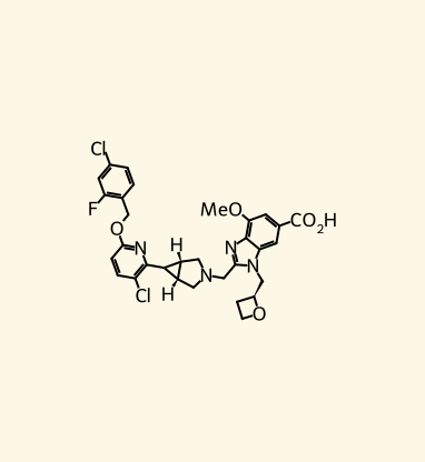 COc1cc(C(=O)O)cc2c1nc(CN1C[C@@H]3C(c4nc(OCc5ccc(Cl)cc5F)ccc4Cl)[C@@H]3C1)n2C[C@@H]1CCO1